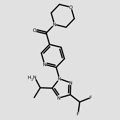 CC(N)c1nc(C(F)F)nn1-c1ccc(C(=O)N2CCOCC2)cn1